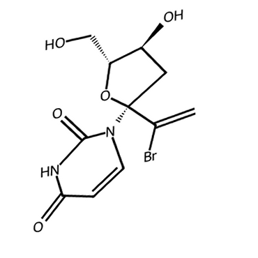 C=C(Br)[C@]1(n2ccc(=O)[nH]c2=O)C[C@H](O)[C@@H](CO)O1